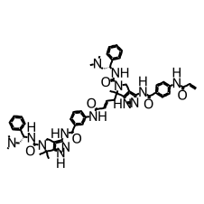 C=CC(=O)Nc1ccc(C(=O)Nc2n[nH]c3c2CN(C(=O)N[C@H](CN(C)C)c2ccccc2)C3(C)C/C=C/C(=O)Nc2cccc(C(=O)Nc3n[nH]c4c3CN(C(=O)N[C@H](CN(C)C)c3ccccc3)C4(C)C)c2)cc1